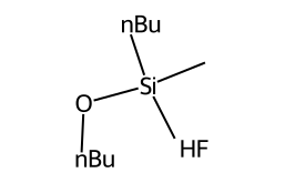 CCCCO[Si](C)(C)CCCC.F